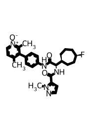 Cc1cc[n+]([O-])c(C)c1-c1ccc(NC(=O)[C@@H](NC(=O)c2ccnn2C)[C@H]2CCC[C@@H](F)CC2)cc1